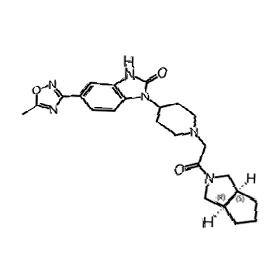 Cc1nc(-c2ccc3c(c2)[nH]c(=O)n3C2CCN(CC(=O)N3C[C@H]4CCC[C@H]4C3)CC2)no1